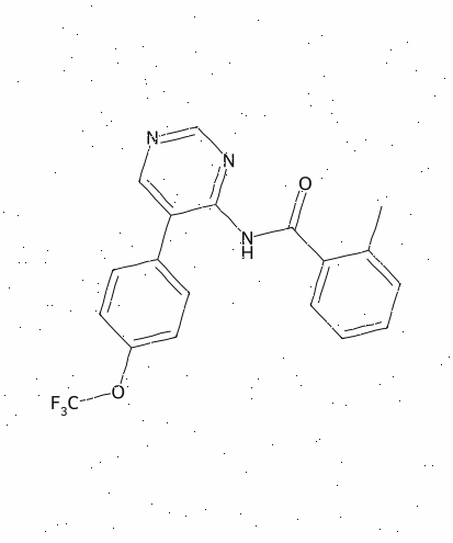 Cc1ccccc1C(=O)Nc1ncncc1-c1ccc(OC(F)(F)F)cc1